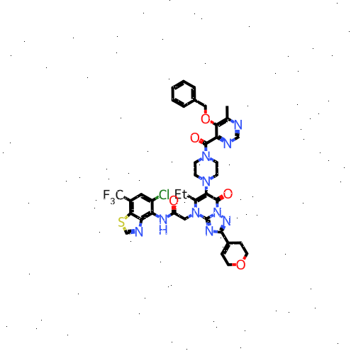 CCc1c(N2CCN(C(=O)c3ncnc(C)c3OCc3ccccc3)CC2)c(=O)n2nc(C3=CCOCC3)nc2n1CC(=O)Nc1c(Cl)cc(C(F)(F)F)c2scnc12